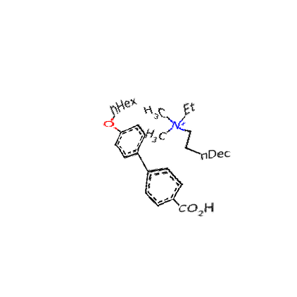 CCCCCCCCCCCC[N+](C)(C)CC.CCCCCCOc1ccc(-c2ccc(C(=O)O)cc2)cc1